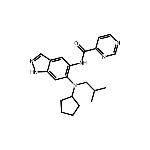 CC(C)CN(c1cc2[nH]ncc2cc1NC(=O)c1ccncn1)C1CCCC1